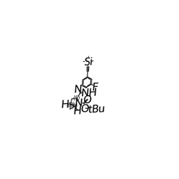 CC(C)(C)OC(=O)N1[C@@H]2C[C@@H]2C[C@H]1c1nc2cc(C#C[Si](C)(C)C)cc(F)c2[nH]1